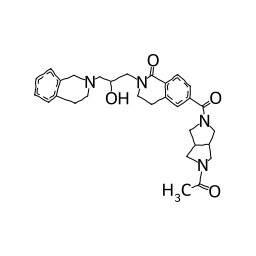 CC(=O)N1CC2CN(C(=O)c3ccc4c(c3)CCN(CC(O)CN3CCc5ccccc5C3)C4=O)CC2C1